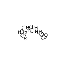 Cl.O=c1ccc2ncc(Cl)c3c2n1CC3CN1CCC(NCc2cc3c(cn2)OCCO3)CC1